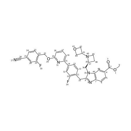 COC(=O)c1ccc2nc(Cc3ccc(-c4cccc(OCc5ccc(C#N)cc5F)n4)cc3F)n(C[C@@H]3CCN3C3COC3)c2c1